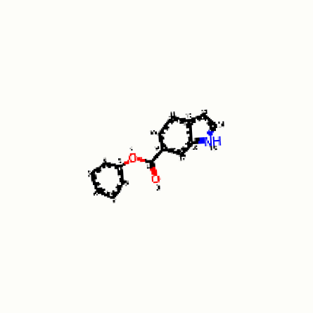 O=C(Oc1ccccc1)c1ccc2cc[nH]c2c1